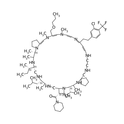 CCCOCC1=CN(C)C=CN=C(CCc2ccc(C(F)(F)F)c(Cl)c2)C=CNCCNCC2(CCCC2)NC(C)[C@H](C(C)C)N2C(C)[C@H](C(=O)N3CCCCC3)C2CNC(C)[C@H](CC(C)C)NC[C@H]([C@@H](C)CC)NC(C)[C@H](C)N2CCCC2=CN1C